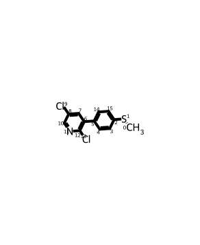 CSc1ccc(-c2cc(Cl)cnc2Cl)cc1